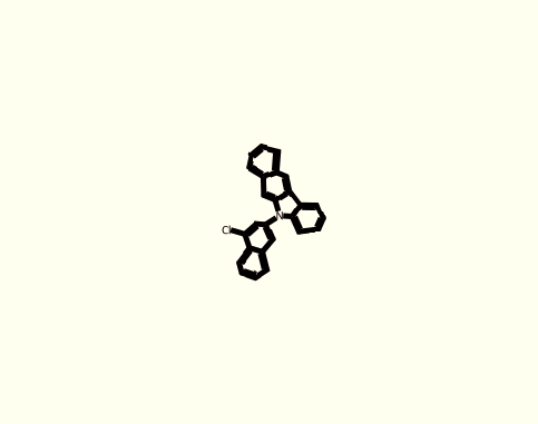 Clc1cc(-n2c3ccccc3c3cc4ccccc4cc32)cc2ccccc12